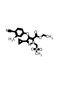 CCOC(=O)c1c(Oc2ccc(C#N)c(C)c2)c(C2CC2)nn1CS(C)(=O)=O